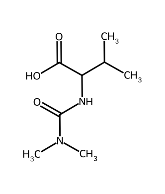 CC(C)C(NC(=O)N(C)C)C(=O)O